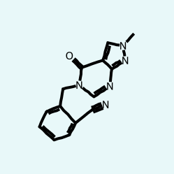 Cn1cc2c(=O)n(Cc3ccccc3C#N)cnc2n1